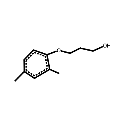 Cc1ccc(OCCCO)c(C)c1